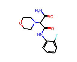 NC(=O)C(C(=O)Nc1ccccc1F)N1CCOCC1